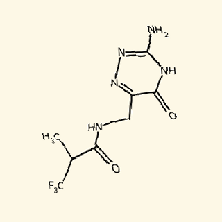 CC(C(=O)NCc1nnc(N)[nH]c1=O)C(F)(F)F